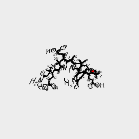 CCC1(C)C(/C(C)=C2N=C(/C=C3\N=CC(C)(CC(N)=O)C3CCC(=O)O)C(C)(C)C\2CCC(=O)O)=NC(C(C)C(C)(CC(N)=O)C(CCC(=O)O)C(N)=C(C)C)C1CC(=O)O